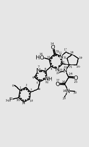 Cc1cc(Cc2cnc(-c3nc4n(c(=O)c3O)CC3CCC4(N(C)C(=O)C(=O)N(C)C)C3)[nH]2)ccc1F